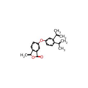 C=C(C)c1ccc(Oc2ccc3c(c2)C(=O)OC3=C)cc1C(=C)C